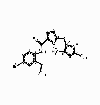 CCc1cc(Br)ccc1NC(=O)c1ccc(Cn2nc(C)cc2C)o1